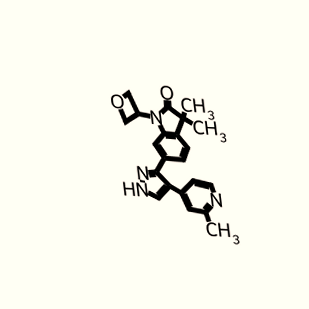 Cc1cc(-c2c[nH]nc2-c2ccc3c(c2)N(C2COC2)C(=O)C3(C)C)ccn1